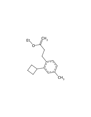 C=C(CCc1ccc(C)cc1C1CCC1)OCC